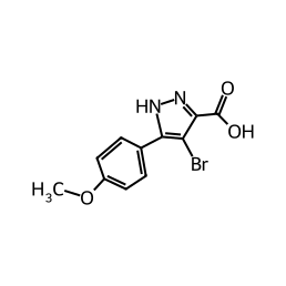 COc1ccc(-c2[nH]nc(C(=O)O)c2Br)cc1